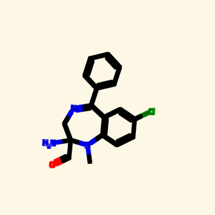 CN1c2ccc(Cl)cc2C(c2ccccc2)=NCC1(N)C=O